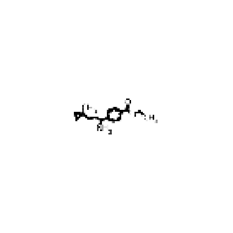 CCOC(=O)c1ccc(C(N)CCC2(C)CC2)cc1